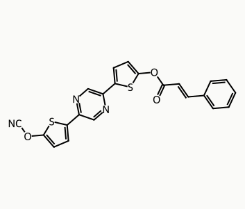 N#COc1ccc(-c2cnc(-c3ccc(OC(=O)/C=C/c4ccccc4)s3)cn2)s1